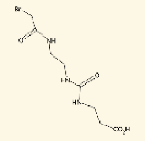 O=C(O)CCNC(=O)NCCNC(=O)CBr